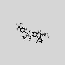 Cn1ncc2c(N)nc3cc(F)c(C(=O)N(Cc4ccc(C(F)(F)F)nn4)C4CC4)cc3c21